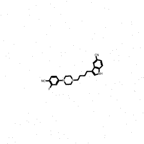 N#Cc1ccc2[nH]cc(CCCCN3CCN(c4ccc(C#N)c(F)c4)CC3)c2c1